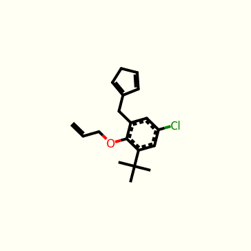 C=CCOc1c(CC2=CCC=C2)cc(Cl)cc1C(C)(C)C